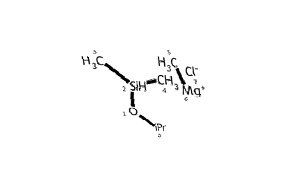 CC(C)O[SiH](C)C.[CH3][Mg+].[Cl-]